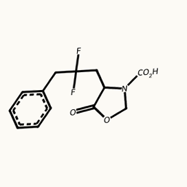 O=C1OCN(C(=O)O)C1CC(F)(F)Cc1ccccc1